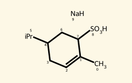 CC1=CCC(C(C)C)CC1S(=O)(=O)O.[NaH]